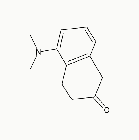 CN(C)c1cccc2c1CCC(=O)C2